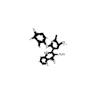 CCOC(=O)c1c(-c2cc(C(F)(F)F)c(C)nc2Oc2ccc(F)c(F)c2C)[nH]c2cccnc2c1=O